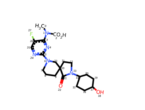 CN(C(=O)O)c1nc(N2CCCC3(CCN(C4CCC(O)CC4)C3=O)C2)ncc1F